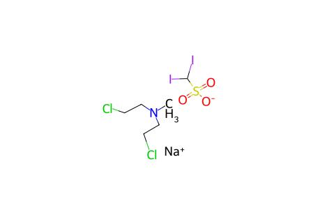 CN(CCCl)CCCl.O=S(=O)([O-])C(I)I.[Na+]